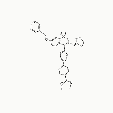 COC(OC)C1CCN(c2ccc(C3=C(C=C4CCCC4)CC(F)(F)c4cc(OCc5ccccc5)ccc43)cc2)CC1